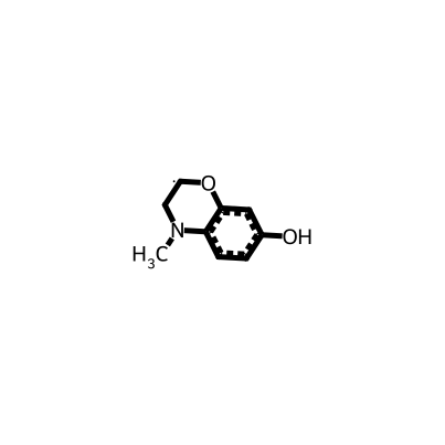 CN1C[CH]Oc2cc(O)ccc21